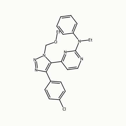 CCOCn1nnc(-c2ccc(Cl)cc2)c1-c1ccnc(N(CC)c2ccccc2)n1